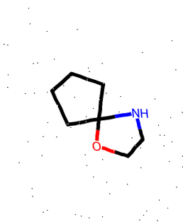 C1CCC2(C1)NCCO2